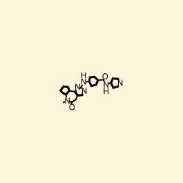 CN1C(=O)Cc2cnc(Nc3ccc(C(=O)Nc4ccncc4)cc3)nc2-c2ccccc21